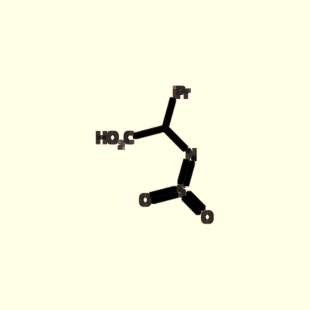 CC(C)C(N=S(=O)=O)C(=O)O